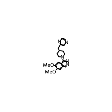 COc1cc2cnnc(N3CCC(Cc4cnccn4)CC3)c2cc1OC